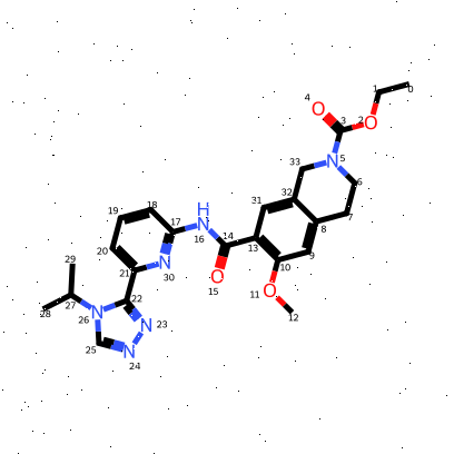 CCOC(=O)N1CCc2cc(OC)c(C(=O)Nc3cccc(-c4nncn4C(C)C)n3)cc2C1